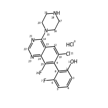 Cl.Oc1cccc(F)c1-c1c(Cl)cc2c(N3CCNCC3)ncnc2c1F